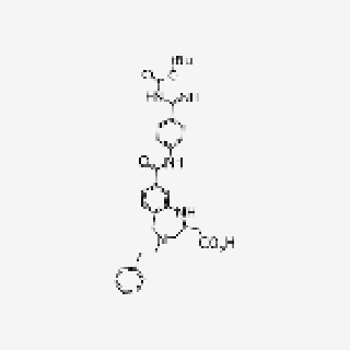 CC(C)(C)OC(=O)NC(=N)c1ccc(NC(=O)c2ccc3c(c2)NC(CC(=O)O)CN(CCc2ccccc2)C3)cc1